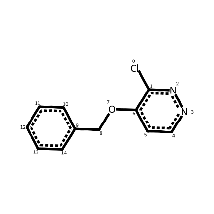 Clc1nnccc1OCc1ccccc1